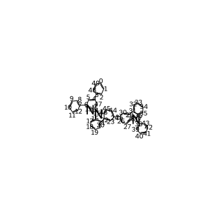 c1ccc(-c2cc(-c3ccccc3)nc(-n3c4ccccc4c4cc(-c5ccc6c(c5)c5ccccc5n6-c5ccccc5)ccc43)c2)cc1